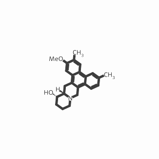 COc1cc2c3c(c4ccc(C)cc4c2cc1C)CN1CCC[C@H](O)[C@@H]1C3